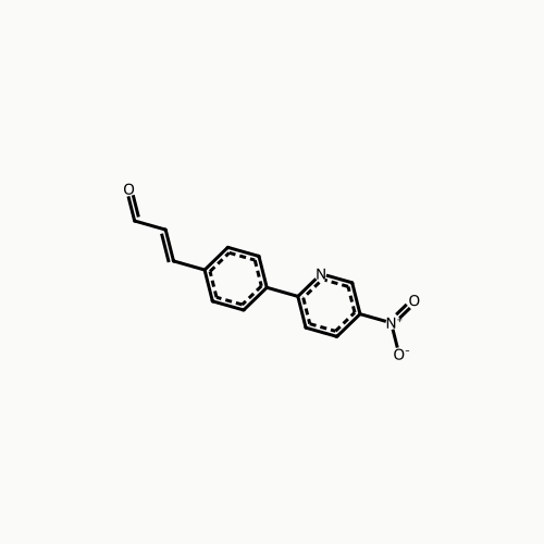 O=CC=Cc1ccc(-c2ccc([N+](=O)[O-])cn2)cc1